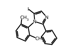 Cc1cccc(C)c1-n1c(I)cnc1-c1ccccc1